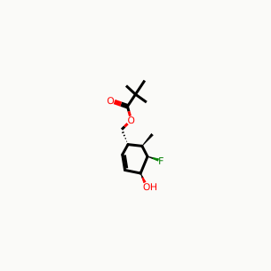 C[C@H]1[C@@H](F)[C@@H](O)C=C[C@@H]1COC(=O)C(C)(C)C